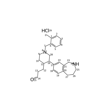 Cc1ccccc1CN1CCC(CCC=O)C(c2ccc3c(c2)CNCCC3)C1.Cl